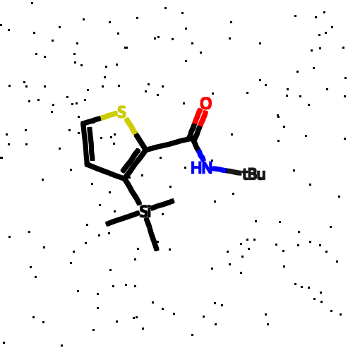 CC(C)(C)NC(=O)c1sccc1[Si](C)(C)C